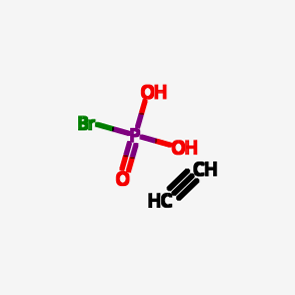 C#C.O=P(O)(O)Br